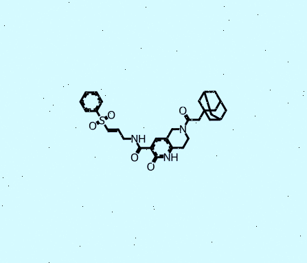 O=C(NC/C=C/S(=O)(=O)c1ccccc1)c1cc2c([nH]c1=O)CCN(C(=O)CC13CC4CC(CC(C4)C1)C3)C2